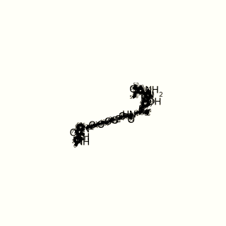 C=C1CCC(N2C(=C)c3c(NCCOCCOCCOCCOCCOCCC(=O)NCCCN(SC4C=C[C@](O)(c5cnc(N)c(-c6ccc(C(C)=O)c(CCC)c6)c5)C(F)C4)C4CC4)cccc3C2=O)C(=C)N1